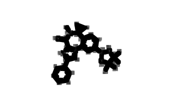 CN1C(=O)c2nc(-c3ccccc3)cn2-c2cc(B3OC(C)(C)C(C)(C)O3)ccc2C12CC2